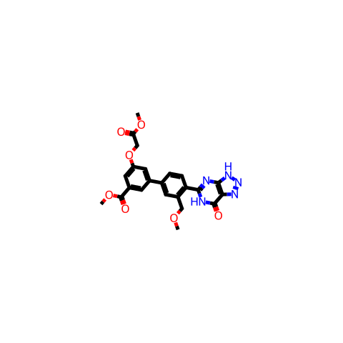 COCc1cc(-c2cc(OCC(=O)OC)cc(C(=O)OC)c2)ccc1-c1nc2[nH]nnc2c(=O)[nH]1